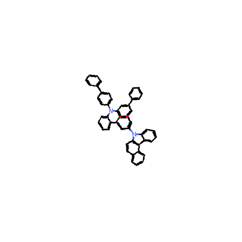 c1ccc(-c2ccc(N(c3cccc(-c4ccccc4)c3)c3ccccc3-c3cccc(-n4c5ccccc5c5c6ccccc6ccc54)c3)cc2)cc1